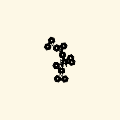 c1cc2c3c(cccc3c1)-c1c(-c3ccc(-n4c5ccccc5c5cc(-n6c7ccccc7c7ccccc76)ccc54)cc3)nc(-n3c4ccccc4c4cc(-n5c6ccccc6c6ccccc65)ccc43)nc1-2